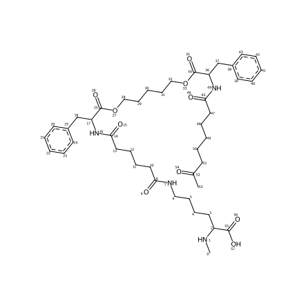 CNC(CCCCNC(=O)CCCCC(=O)NC(Cc1ccccc1)C(=O)OCCCCCOC(=O)C(Cc1ccccc1)NC(=O)CCCCCC(C)=O)C(=O)O